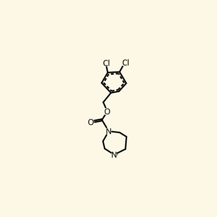 O=C(OCc1ccc(Cl)c(Cl)c1)N1CCC[N]CC1